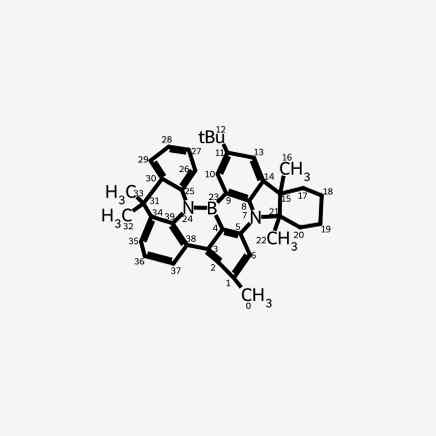 Cc1cc2c3c(c1)N1c4c(cc(C(C)(C)C)cc4C4(C)CCCCC14C)B3N1c3ccccc3C(C)(C)c3cccc-2c31